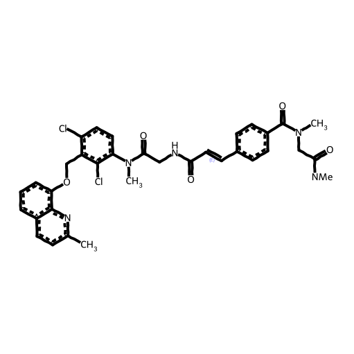 CNC(=O)CN(C)C(=O)c1ccc(/C=C/C(=O)NCC(=O)N(C)c2ccc(Cl)c(COc3cccc4ccc(C)nc34)c2Cl)cc1